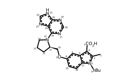 CCCCn1c(C)c(C(=O)O)c2cc(OC[C@H]3CCCN3c3ncnc4[nH]cnc34)ccc21